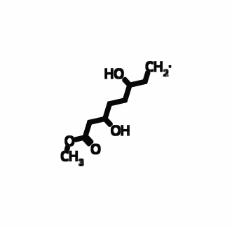 [CH2]CC(O)CCC(O)CC(=O)OC